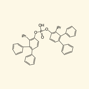 CC(C)c1c(OP(=O)(O)Oc2ccc(-c3ccccc3)c(-c3ccccc3)c2C(C)C)ccc(-c2ccccc2)c1-c1ccccc1